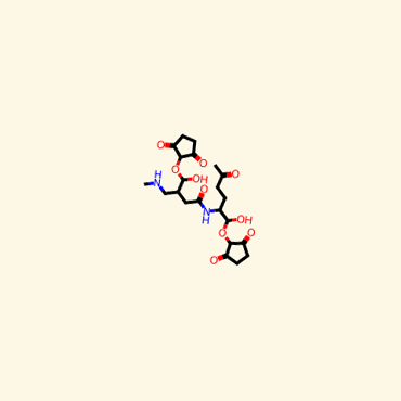 CNCC(CC(=O)NC(CCC(C)=O)C(O)OC1C(=O)CCC1=O)C(O)OC1C(=O)CCC1=O